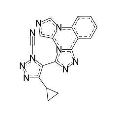 N#Cn1nnc(C2CC2)c1-c1nnc2c3ccccc3n3cncc3n12